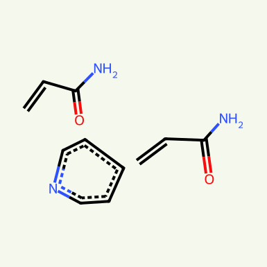 C=CC(N)=O.C=CC(N)=O.c1ccncc1